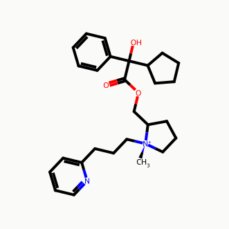 C[N@+]1(CCCc2ccccn2)CCCC1COC(=O)C(O)(c1ccccc1)C1CCCC1